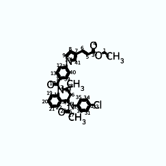 CCOC(=O)C=Cc1ccn(-c2ccc(C(=O)N3c4ccccc4[C@H](N(C(C)=O)c4ccc(Cl)cc4)C[C@@H]3C)cc2)c1